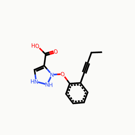 CCC#Cc1ccccc1ON1NNC=C1C(=O)O